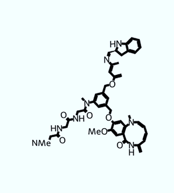 C=C1/C=C\C=C/N(C)c2cc(OCc3cc(COC(=C)/C=C(C)/N=C\[C@@H]4Cc5ccccc5N4)cc(N(C)C(=O)CNC(=O)CNC(=O)CNC)c3)c(OC)cc2C(=O)N1